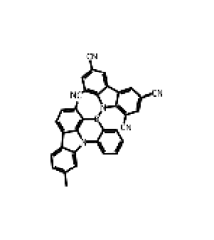 Cc1ccc2c3ccc(C)c4c3n(c2c1)-c1ccccc1B4n1c2c(C#N)cc(C#N)cc2c2cc(C#N)cc(C#N)c21